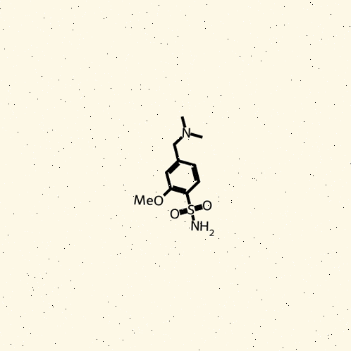 COc1cc(CN(C)C)ccc1S(N)(=O)=O